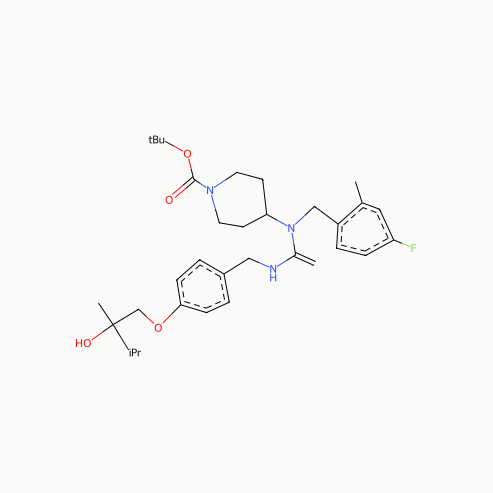 C=C(NCc1ccc(OCC(C)(O)C(C)C)cc1)N(Cc1ccc(F)cc1C)C1CCN(C(=O)OC(C)(C)C)CC1